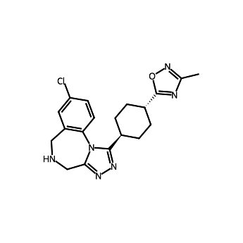 Cc1noc([C@H]2CC[C@H](c3nnc4n3-c3ccc(Cl)cc3CNC4)CC2)n1